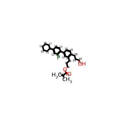 C=C(C)C(=O)OCCCc1cc(-c2ccc(C3CCCCC3)cc2F)ccc1CCCO